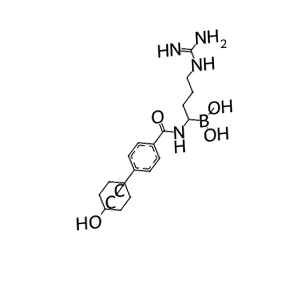 N=C(N)NCCCC(NC(=O)c1ccc(C23CCC(O)(CC2)CC3)cc1)B(O)O